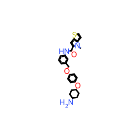 Cn1c(C(=O)Nc2cccc(COc3ccc(O[C@H]4CC[C@H](N)CC4)cc3)c2)cc2sccc21